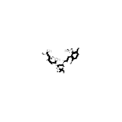 Cc1ccc(F)c(/C=C/C[C@@H]2OC(C)(C)O[C@@H]2C(O)/C=C\[C@@H](C)[C@H](C)O)c1C(=O)O